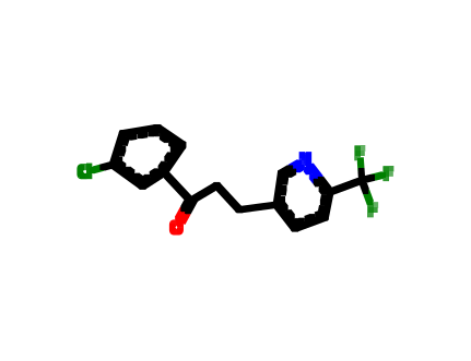 O=C(CCc1ccc(C(F)(F)F)nc1)c1cccc(Cl)c1